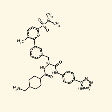 Cc1ccc(S(=O)(=O)N(C)C)cc1-c1cccc(C[C@H](NC(=O)C2CCC(CN)CC2)C(=O)Nc2ccc(-c3nnn[nH]3)cc2)c1